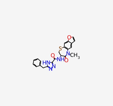 CN1C(=O)C(NC(=O)c2nnc(Cc3ccccc3)[nH]2)CSc2cc3occc3cc21